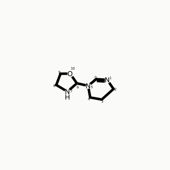 [C]1=NCCCN1C1NCCO1